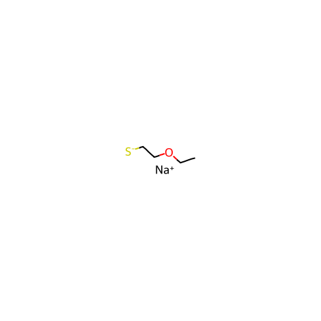 CCOCC[S-].[Na+]